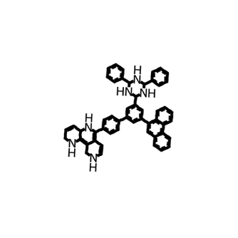 C1=CC2NC(c3ccc(-c4cc(-c5cc6ccccc6c6ccccc56)cc(C5NC(c6ccccc6)NC(c6ccccc6)N5)c4)cc3)=C3C=CNCC3=C2NC1